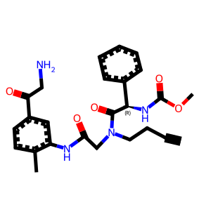 C#CCCN(CC(=O)Nc1cc(C(=O)CN)ccc1C)C(=O)[C@H](NC(=O)OC)c1ccccc1